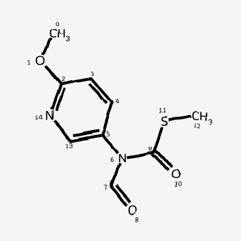 COc1ccc(N(C=O)C(=O)SC)cn1